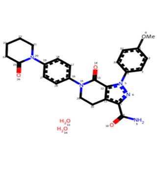 COc1ccc(-n2nc(C(N)=O)c3c2C(=O)N(c2ccc(N4CCCCC4=O)cc2)CC3)cc1.O.O